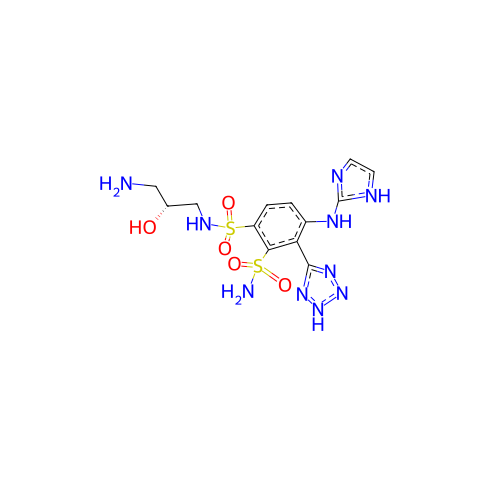 NC[C@@H](O)CNS(=O)(=O)c1ccc(Nc2ncc[nH]2)c(-c2nn[nH]n2)c1S(N)(=O)=O